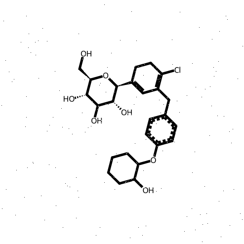 OC[C@H]1O[C@@H](C2=CC(Cc3ccc(OC4CCCCC4O)cc3)=C(Cl)CC2)[C@H](O)C(O)[C@@H]1O